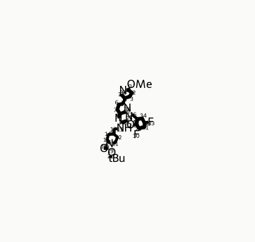 COc1ccc(-c2ccc3nc(NCC4CCN(C(=O)OC(C)(C)C)CC4)c(=O)n(Cc4cc(F)cc(F)c4)c3n2)cn1